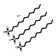 CCCCCCCCCCCCS(=O)(=O)[O-].CCCCCCCCCCCCS(=O)(=O)[O-].CCCCCCCCCCCCS(=O)(=O)[O-].[In+3]